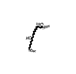 CCCCCCCCCCCCCCCCC(O)CCCCCCC/C=C\C[C@H](O)CCCCCC